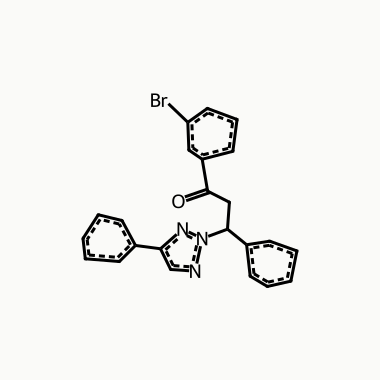 O=C(CC(c1ccccc1)n1ncc(-c2ccccc2)n1)c1cccc(Br)c1